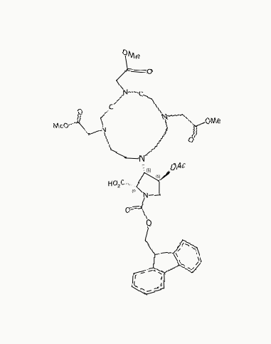 COC(=O)CN1CCN(CC(=O)OC)CCN([C@@H]2[C@@H](OC(C)=O)CN(C(=O)OCC3c4ccccc4-c4ccccc43)[C@@H]2C(=O)O)CCN(CC(=O)OC)CC1